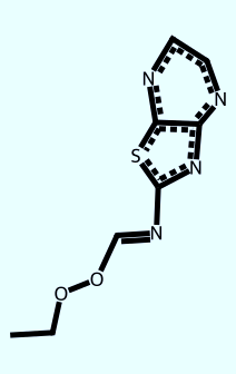 CCOOC=Nc1nc2nccnc2s1